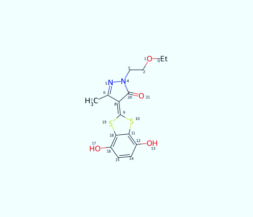 CCOCCN1N=C(C)C(=C2Sc3c(O)ccc(O)c3S2)C1=O